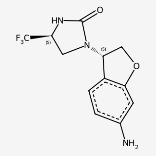 Nc1ccc2c(c1)OC[C@H]2N1C[C@@H](C(F)(F)F)NC1=O